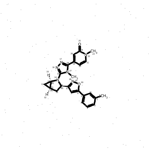 Cc1cccc(-c2cc([C@H]3C[C@H]4C[C@H]4N3c3nnc(-c4ccn(C)c(=O)c4)n3C)no2)c1